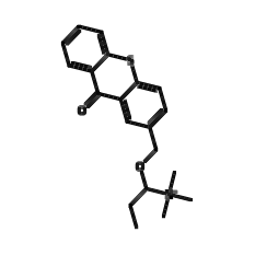 CCC(OCc1ccc2sc3ccccc3c(=O)c2c1)[N+](C)(C)C